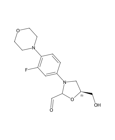 O=CC1O[C@H](CO)CN1c1ccc(N2CCOCC2)c(F)c1